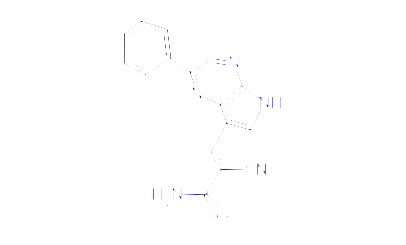 N#C/C(=C\c1c[nH]c2ncc(-c3ccccc3)nc12)C(N)=O